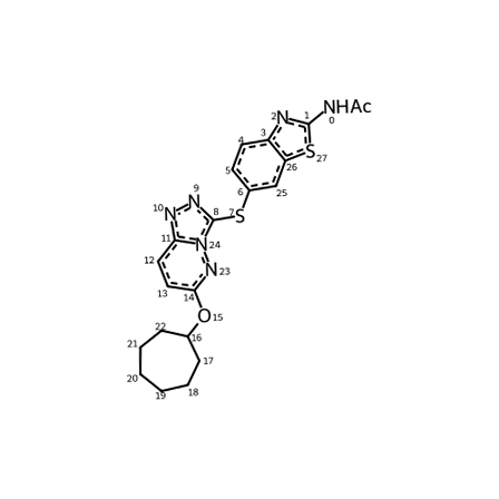 CC(=O)Nc1nc2ccc(Sc3nnc4ccc(OC5CCCCCC5)nn34)cc2s1